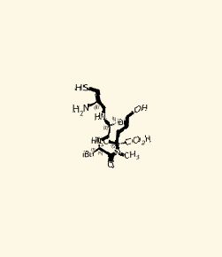 CC[C@H](C)[C@H](NC[C@@H](NC[C@@H](N)CS)[C@@H](C)CC)C(=O)N(C)[C@@](C)(CCCO)C(=O)O